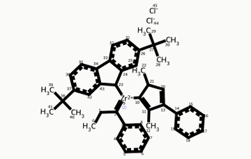 CC/[C](c1ccccc1)=[Zr+2](/[C]1=C(C)C(c2ccccc2)=CC1C)[CH]1c2cc(C(C)(C)C)ccc2-c2ccc(C(C)(C)C)cc21.[Cl-].[Cl-]